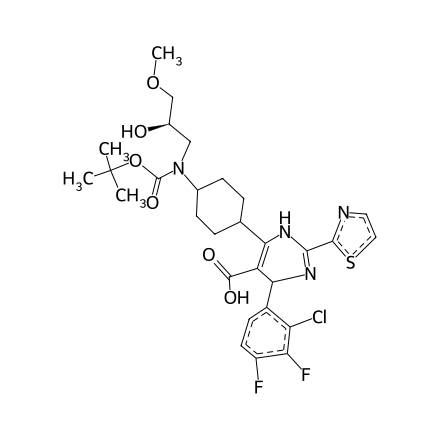 COC[C@H](O)CN(C(=O)OC(C)(C)C)C1CCC(C2=C(C(=O)O)C(c3ccc(F)c(F)c3Cl)N=C(c3nccs3)N2)CC1